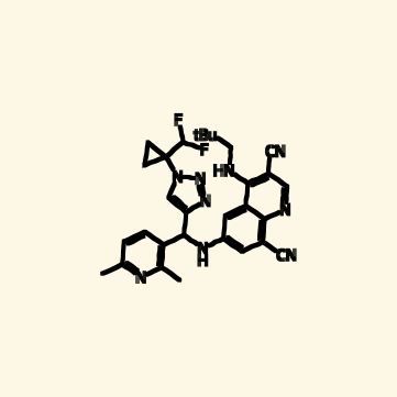 Cc1ccc(C(Nc2cc(C#N)c3ncc(C#N)c(NCC(C)(C)C)c3c2)c2cn(C3(C(F)F)CC3)nn2)c(C)n1